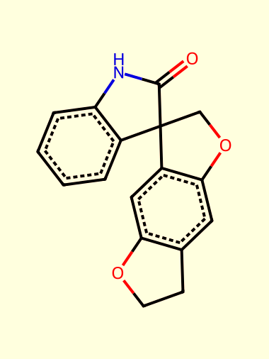 O=C1Nc2ccccc2C12COc1cc3c(cc12)OCC3